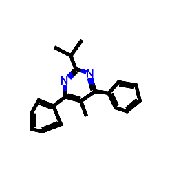 Cc1c(-c2ccccc2)nc(C(C)C)nc1-c1ccccc1